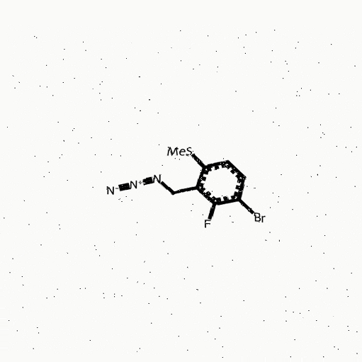 CSc1ccc(Br)c(F)c1CN=[N+]=[N-]